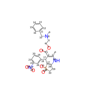 CC1=C(C(=O)OCCN(C)Cc2ccccc2)C(c2cccc([N+](=O)[O-])c2)C2=C(CCS2(=O)=O)N1